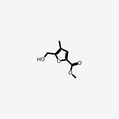 COC(=O)c1cc(C)c(CO)o1